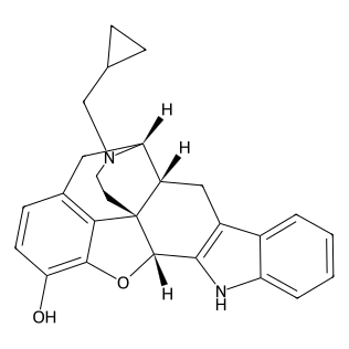 Oc1ccc2c3c1O[C@H]1c4[nH]c5ccccc5c4C[C@H]4[C@@H](C2)N(CC2CC2)CC[C@]314